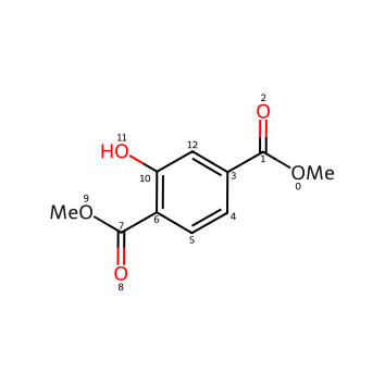 COC(=O)c1ccc(C(=O)OC)c(O)c1